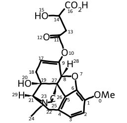 COc1ccc2c3c1O[C@H]1C(OC(=O)CC(O)C(=O)O)=CC[C@@]4(O)[C@@H](C2)N(C)CC[C@]314